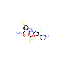 NC(=O)c1cc(F)cc2c1N(OC(=O)C(F)(F)F)N(c1ccc(C3CCCNC3)c(F)c1)C2